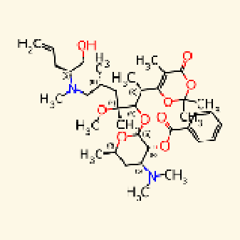 C=CC[C@@H](CO)N(C)C[C@H](C)C[C@@](C)(OC)[C@H](O[C@@H]1O[C@H](C)C[C@H](N(C)C)[C@H]1OC(=O)c1ccccc1)[C@@H](C)C1=C(C)C(=O)OC(C)(C)O1